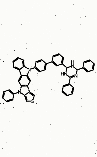 c1ccc(C2=NC(c3ccccc3)NC(c3cccc(-c4ccc(-n5c6ccccc6c6cc7c(cc65)c5cscc5n7-c5ccccc5)cc4)c3)N2)cc1